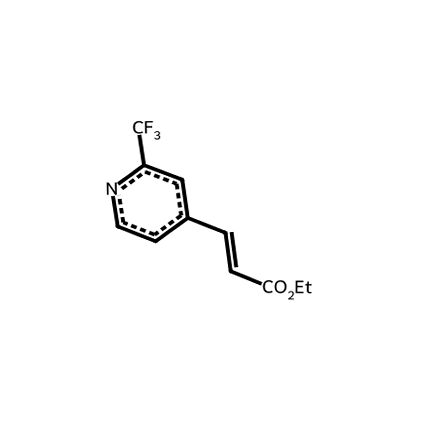 CCOC(=O)/C=C/c1ccnc(C(F)(F)F)c1